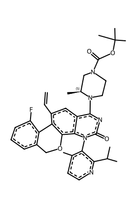 C=Cc1cc2c(N3CCN(C(=O)OC(C)(C)C)C[C@@H]3C)nc(=O)n(-c3c(C)ccnc3C(C)C)c2c2c1-c1c(F)cccc1CO2